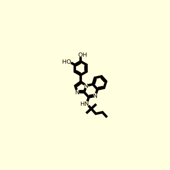 CCCC(C)(C)Nc1nc2ccccc2n2c(-c3ccc(O)c(O)c3)cnc12